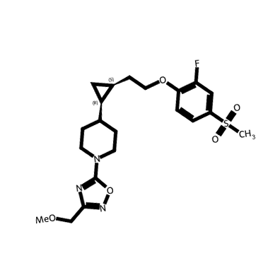 COCc1noc(N2CCC([C@H]3C[C@H]3CCOc3ccc(S(C)(=O)=O)cc3F)CC2)n1